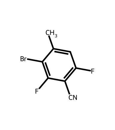 Cc1cc(F)c(C#N)c(F)c1Br